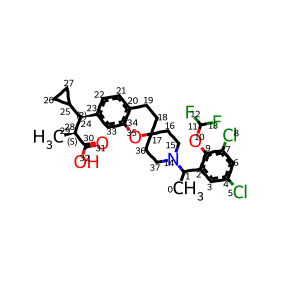 CC(c1cc(Cl)cc(Cl)c1OC(F)F)N1CCC2(CCc3ccc([C@H](C4CC4)[C@H](C)C(=O)O)cc3O2)CC1